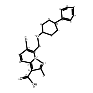 Cc1nn2c(COC3CCC(c4ccccc4)CC3)c(Br)ccc2c1C(=O)O